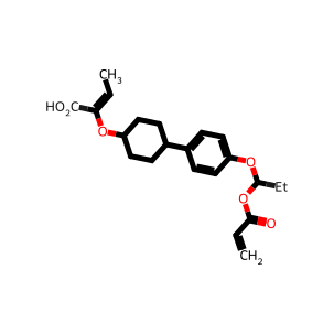 C=CC(=O)OC(CC)Oc1ccc(C2CCC(OC(=CC)C(=O)O)CC2)cc1